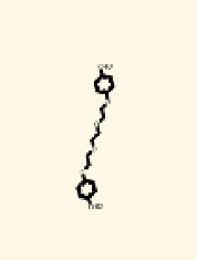 O=Cc1ccc(OCCOCCOCCOc2ccc(C=O)cc2)cc1